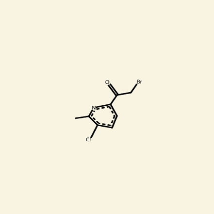 Cc1nc(C(=O)CBr)ccc1Cl